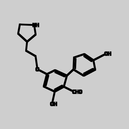 O=Cc1c(O)cc(OCCC2CCNC2)cc1-c1ccc(O)cc1